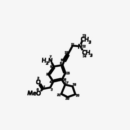 COC(=O)Cc1cc(N)c(C#CCN(C)C)cc1C1CCCC1